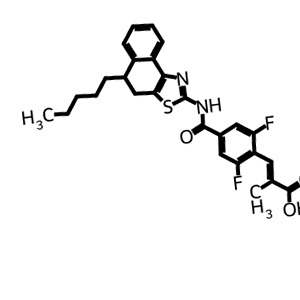 CCCCCC1Cc2sc(NC(=O)c3cc(F)c(C=C(C)C(=O)O)c(F)c3)nc2-c2ccccc21